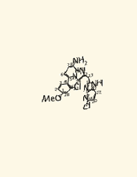 COc1ccc(-c2ccc(N)c3nc(Cc4nc5nc(Cl)ccc5[nH]4)cn23)c(Cl)c1